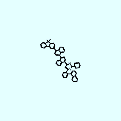 CC1(C)c2ccccc2-c2cc(-c3ccc(-c4ccc(-c5cc(-c6ccccc6-c6cccc7ccccc67)nc(-c6ccccc6)n5)c5ccccc45)c4ccccc34)ccc21